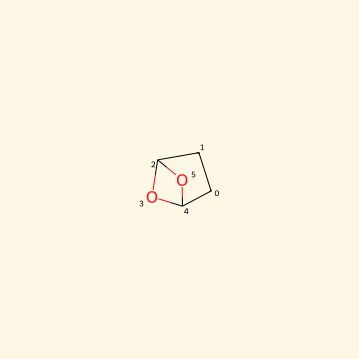 C1CC2OC1O2